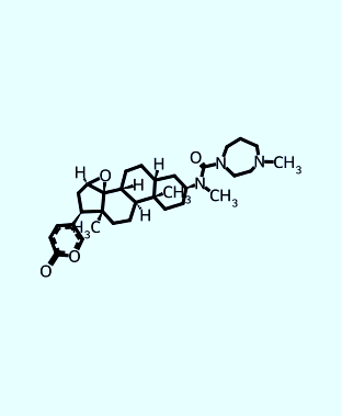 CN1CCCN(C(=O)N(C)[C@H]2CC[C@@]3(C)[C@H](CC[C@@H]4[C@@H]3CC[C@]3(C)[C@@H](c5ccc(=O)oc5)C[C@H]5O[C@]453)C2)CC1